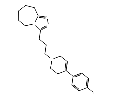 Brc1ccc(C2=CCN(CCCc3nnc4n3CCCCC4)CC2)cc1